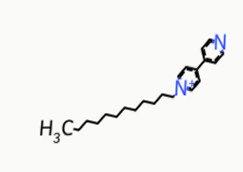 CCCCCCCCCCCC[n+]1ccc(-c2ccncc2)cc1